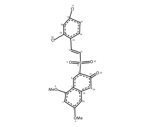 COc1cc(OC)c2cc(S(=O)(=O)C=Cc3ccc(Cl)cc3Cl)c(=O)sc2c1